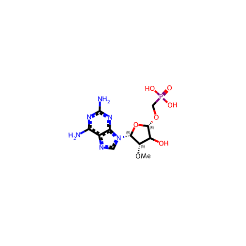 CO[C@H]1C(O)[C@@H](OCP(=O)(O)O)O[C@H]1n1cnc2c(N)nc(N)nc21